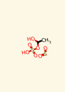 CC(O)OS(=O)(=O)O.O=S=O